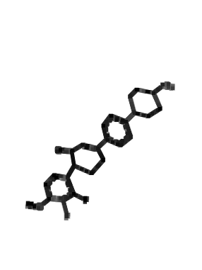 CCCCC1CCC(c2ccc(C3=CC(=O)C(c4ccc(OC)c(F)c4F)CC3)cc2)CC1